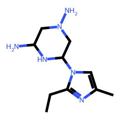 CCc1nc(C)cn1C1CN(N)CC(N)N1